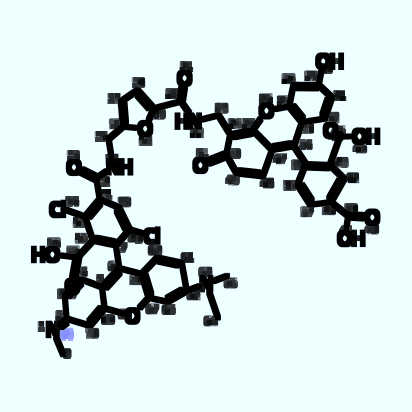 C/N=c1/ccc2c(-c3c(Cl)cc(C(=O)NCc4ccc(C(=O)NCc5c6oc7cc(O)ccc7c(-c7ccc(C(=O)O)cc7C(=O)O)c-6ccc5=O)o4)c(Cl)c3C(=O)O)c3ccc(N(C)C)cc3oc-2c1